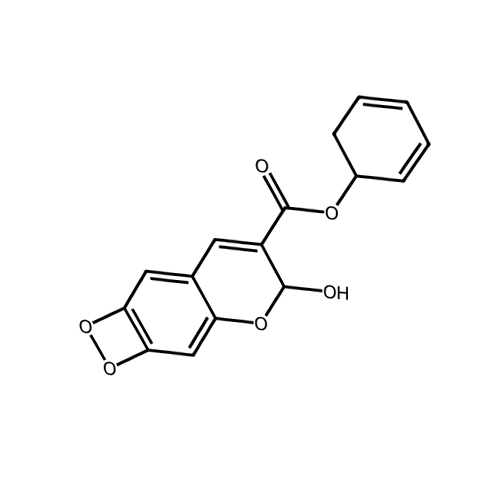 O=C(OC1C=CC=CC1)C1=Cc2cc3ooc3cc2OC1O